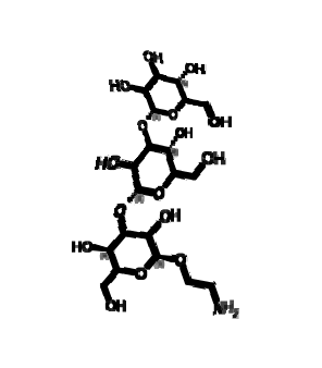 NCCO[C@H]1OC(CO)[C@@H](O)C(O[C@H]2OC(CO)[C@@H](O)C(O[C@H]3OC(CO)[C@@H](O)C(O)C3O)C2O)C1O